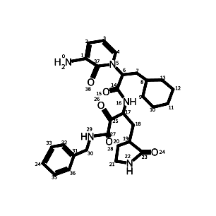 Nc1cccn(C(CC2CCCCC2)C(=O)NC(CC2CCNC2=O)C(=O)C(=O)NCc2ccccc2)c1=O